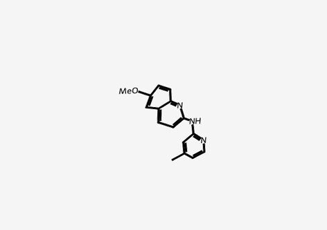 COc1ccc2nc(Nc3cc(C)ccn3)ccc2c1